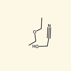 CCOCC.N#CCO